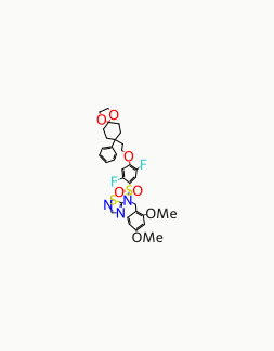 COc1ccc(CN(c2ncns2)S(=O)(=O)c2cc(F)c(OCCC3(c4ccccc4)CCC4(CC3)OCCO4)cc2F)c(OC)c1